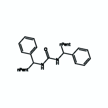 CCCCCC(NC(=O)NC(CCCCC)c1ccccc1)c1ccccc1